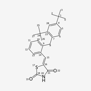 CC(C)(C)c1ccc(Cc2ccccc2/C=C2\SC(=O)NC2=O)c(C(C)(C)C)c1